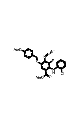 COC(=O)c1cc(SCc2ccc(OC)cc2)c(N=[N+]=[N-])c(F)c1Nc1ccccc1Cl